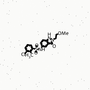 COCCn1[nH]c2ccc(NS(=O)(=O)c3cccc(Cl)c3C)cc2c1=O